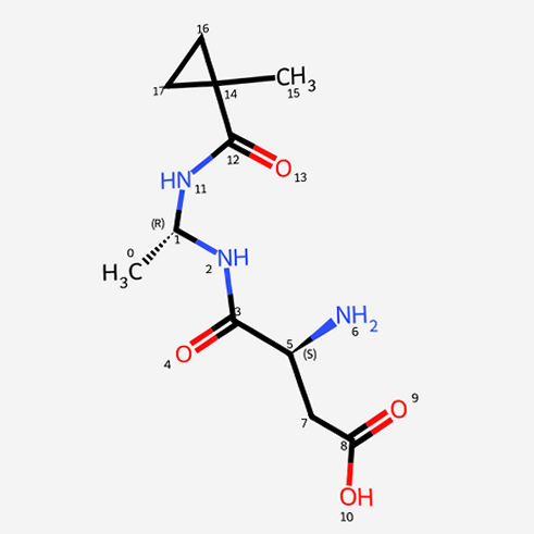 C[C@@H](NC(=O)[C@@H](N)CC(=O)O)NC(=O)C1(C)CC1